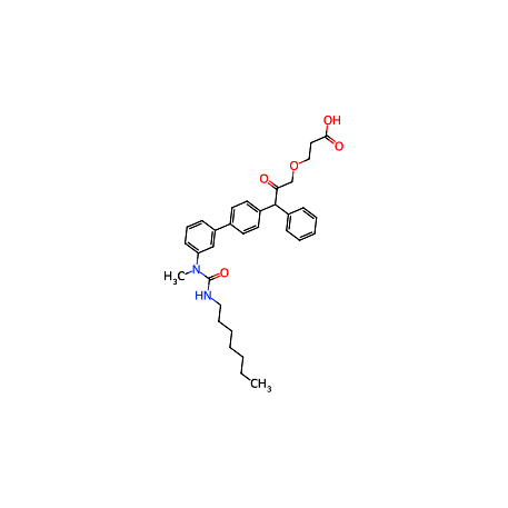 CCCCCCCNC(=O)N(C)c1cccc(-c2ccc(C(C(=O)COCCC(=O)O)c3ccccc3)cc2)c1